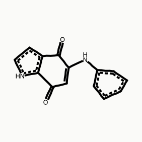 O=C1C(Nc2ccccc2)=CC(=O)c2[nH]ccc21